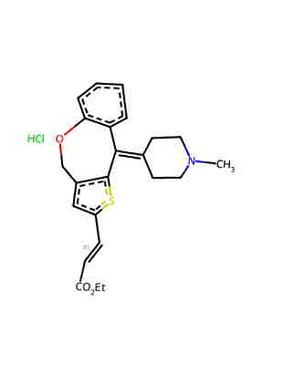 CCOC(=O)/C=C/c1cc2c(s1)C(=C1CCN(C)CC1)c1ccccc1OC2.Cl